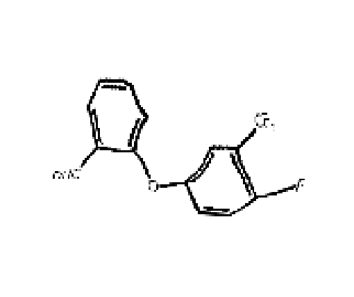 O=Cc1ccccc1Oc1ccc(F)c(C(F)(F)F)c1